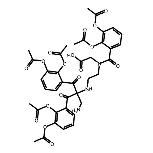 CC(=O)Oc1cccc(C(=O)N(CCNC(CN)(C(=O)c2cccc(OC(C)=O)c2OC(C)=O)C(=O)c2cccc(OC(C)=O)c2OC(C)=O)CC(=O)O)c1OC(C)=O